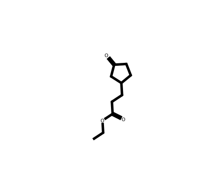 CCOC(=O)CCC1CCC(=O)C1